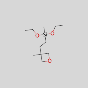 CCO[Si](C)(CCC1(C)COC1)OCC